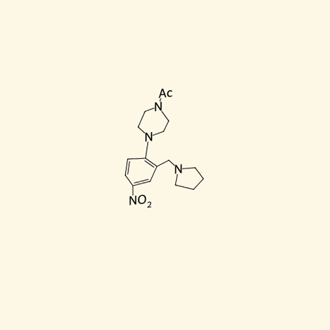 CC(=O)N1CCN(c2ccc([N+](=O)[O-])cc2CN2CCCC2)CC1